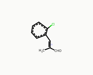 C/C(C=O)=C\c1ccccc1Cl